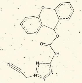 N#CCn1nnc(NC(=O)OC2c3ccccc3Oc3ccccc32)n1